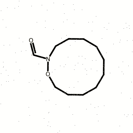 O=[C]N1CCCCCCCCCCO1